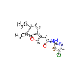 Cc1ccc2c(CC(=O)Nc3ncc(Cl)s3)coc2c1C